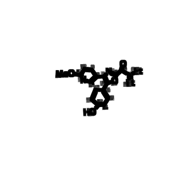 CCN(CC)C(=O)c1nc(-c2ccc(OC)nc2)c(-c2ccc(O)cc2)o1